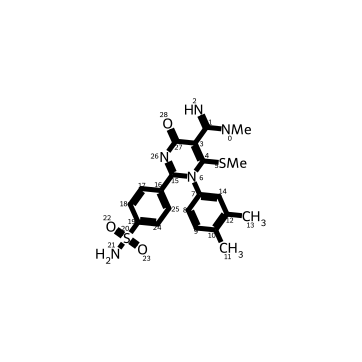 CNC(=N)c1c(SC)n(-c2ccc(C)c(C)c2)c(-c2ccc(S(N)(=O)=O)cc2)nc1=O